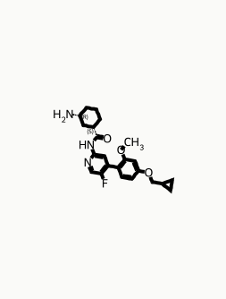 COc1cc(OCC2CC2)ccc1-c1cc(NC(=O)[C@H]2CCC[C@@H](N)C2)ncc1F